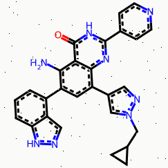 Nc1c(-c2cccc3[nH]ncc23)cc(-c2cnn(CC3CC3)c2)c2nc(-c3ccncc3)[nH]c(=O)c12